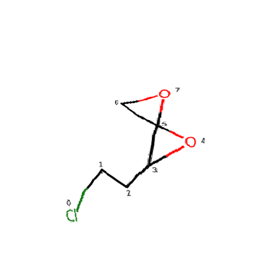 Cl[CH]CC1OC12CO2